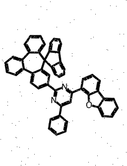 c1ccc(-c2cc(-c3cccc4c3oc3ccccc34)nc(-c3ccc4c(c3)C3(c5ccccc5-c5ccccc5-4)c4ccccc4-c4ccccc43)n2)cc1